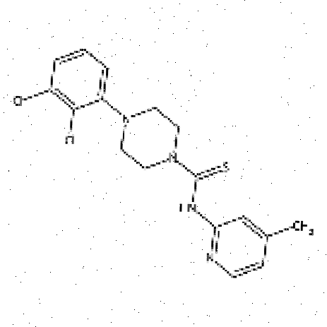 Cc1ccnc(NC(=S)N2CCN(c3cccc(Cl)c3Cl)CC2)c1